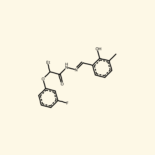 CCC(Oc1cccc(F)c1)C(=O)NN=Cc1cccc(C)c1O